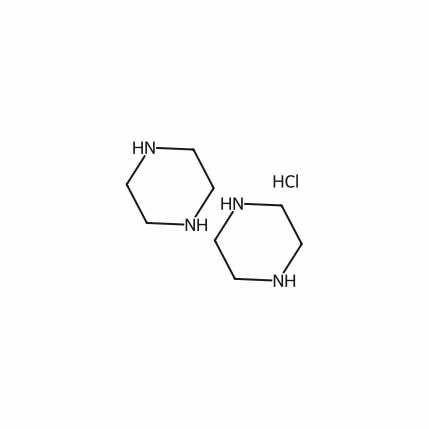 C1CNCCN1.C1CNCCN1.Cl